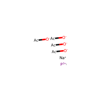 CC(=O)[O-].CC(=O)[O-].CC(=O)[O-].CC(=O)[O-].[Na+].[P+3]